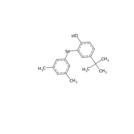 Cc1cc(C)cc([Se]c2cc(C(C)(C)C)ccc2O)c1